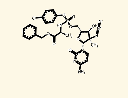 C[C@H](NP(=O)(OC[C@H]1O[C@@H](n2ccc(N)nc2=O)[C@](C)(N=[N+]=[N-])[C@@H]1O)Oc1ccc(Cl)cc1)C(=O)OCc1ccccc1